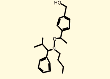 CCCCN(OC(C)c1ccc(CO)cc1)C(c1ccccc1)C(C)C